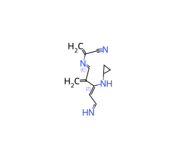 C=C(C#N)/N=C/C(=C)/C(=C/C=N)NC1CC1